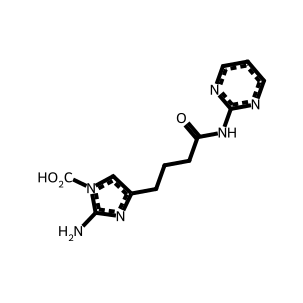 Nc1nc(CCCC(=O)Nc2ncccn2)cn1C(=O)O